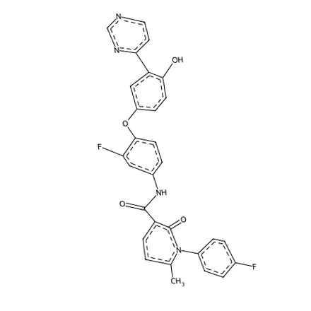 Cc1ccc(C(=O)Nc2ccc(Oc3ccc(O)c(-c4ccncn4)c3)c(F)c2)c(=O)n1-c1ccc(F)cc1